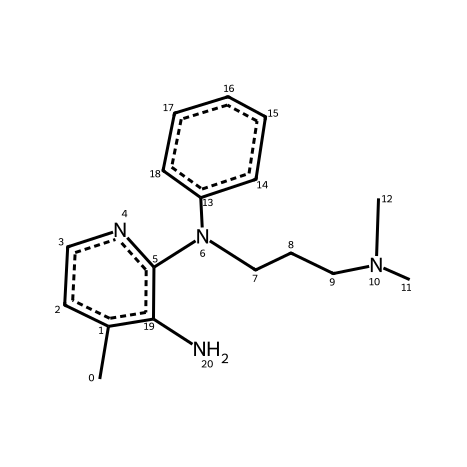 Cc1ccnc(N(CCCN(C)C)c2ccccc2)c1N